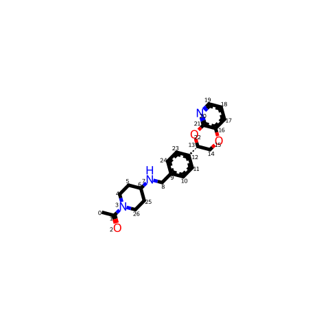 CC(=O)N1CCC(NCc2ccc([C@H]3COc4cccnc4O3)cc2)CC1